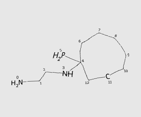 NCCNC1(P)CCCCCCC1